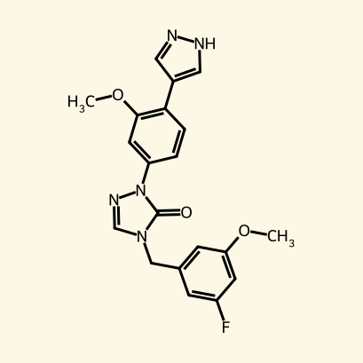 COc1cc(F)cc(Cn2cnn(-c3ccc(-c4cn[nH]c4)c(OC)c3)c2=O)c1